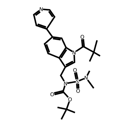 CN(C)S(=O)(=O)N(Cc1cn(C(=O)C(C)(C)C)c2cc(-c3ccncc3)ccc12)C(=O)OC(C)(C)C